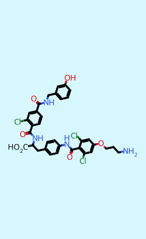 NCCCOc1cc(Cl)c(C(=O)Nc2ccc(CC(NC(=O)c3ccc(C(=O)NCc4cccc(O)c4)cc3Cl)C(=O)O)cc2)c(Cl)c1